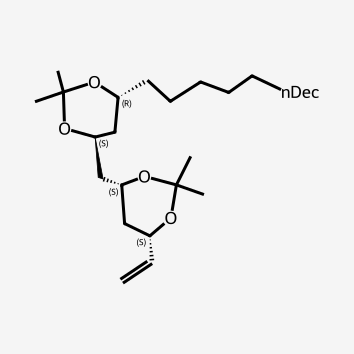 C=C[C@@H]1C[C@H](C[C@@H]2C[C@@H](CCCCCCCCCCCCCCC)OC(C)(C)O2)OC(C)(C)O1